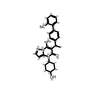 CCCc1c(C(C)c2ccc(-c3ccccc3C#N)cc2)c(=O)n(C2CCC(O)CC2)c2ccnn12